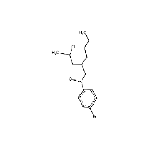 CCCCC(CC(C)Cl)C[S+]([O-])c1ccc(Br)cc1